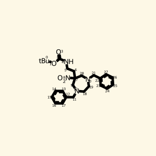 CC(C)(C)OC(=O)NCCC1([N+](=O)[O-])CN(Cc2ccccc2)CCN(Cc2ccccc2)C1